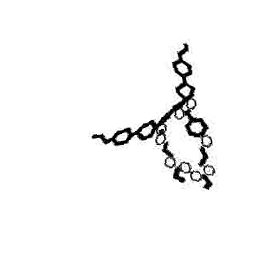 C=CC(=O)OCCCOOC1(C#CC#CC2(OC(=O)C3CCC(OCCCOC(=O)C=C)CC3)CCC(C3CCC(CCC)CC3)CC2)CCC(C2CCC(CCC)CC2)CC1